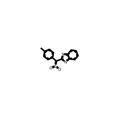 Cc1ccc(C(c2nc3ccccc3s2)=S(=O)=O)cc1